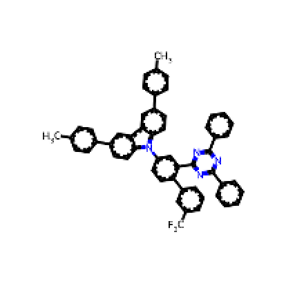 Cc1ccc(-c2ccc3c(c2)c2cc(-c4ccc(C)cc4)ccc2n3-c2ccc(-c3cccc(C(F)(F)F)c3)c(-c3nc(-c4ccccc4)nc(-c4ccccc4)n3)c2)cc1